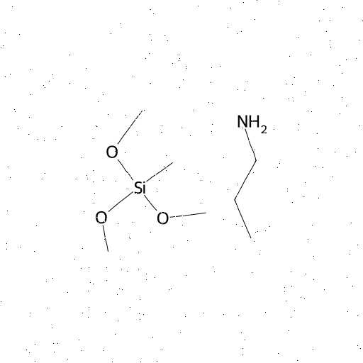 CCCN.CO[Si](C)(OC)OC